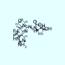 C#C/C(=N\C(=N/CN1C(=O)O[C@H]2[C@H](O)CC[C@H]21)N1CCOCC1)C1=C(C(F)(F)F)N[C@H](N)N=C1